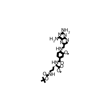 COC(=O)[C@H](CCCNC(=O)OC(C)(C)C)NC(=O)c1ccc(NCc2cnc3nc(N)nc(N)c3n2)c(OC)c1